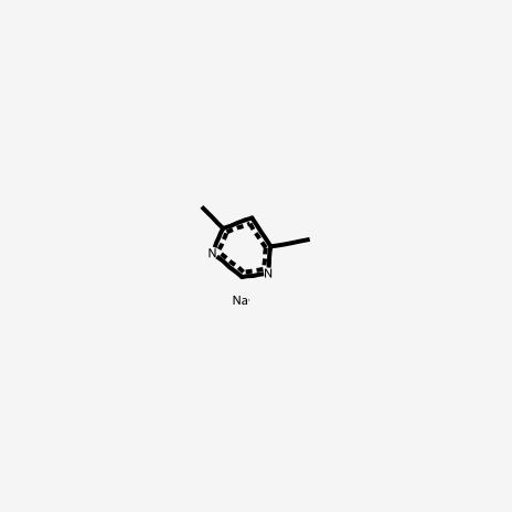 Cc1cc(C)ncn1.[Na]